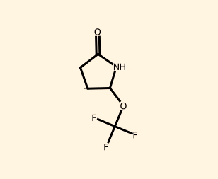 O=C1C[CH]C(OC(F)(F)F)N1